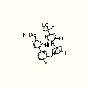 CCc1cc(Nc2cc(NC(C)=O)ncc2-c2ccc(F)c(CN3C[C@H]4C[C@@H](C3)O4)n2)nc(C(C)(F)F)n1